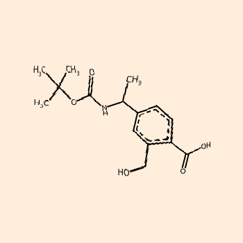 CC(NC(=O)OC(C)(C)C)c1ccc(C(=O)O)c(CO)c1